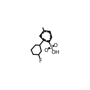 Cc1ccc(S(=O)(=O)O)c(C2CCCC(F)C2)c1